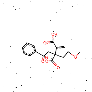 C=C(C(=O)O)C(CCOC)(CC(=O)c1ccccc1)C(=O)O